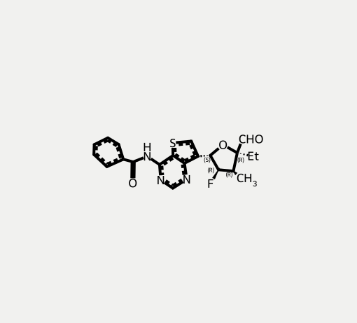 CC[C@@]1(C=O)O[C@@H](c2csc3c(NC(=O)c4ccccc4)ncnc23)[C@H](F)[C@@H]1C